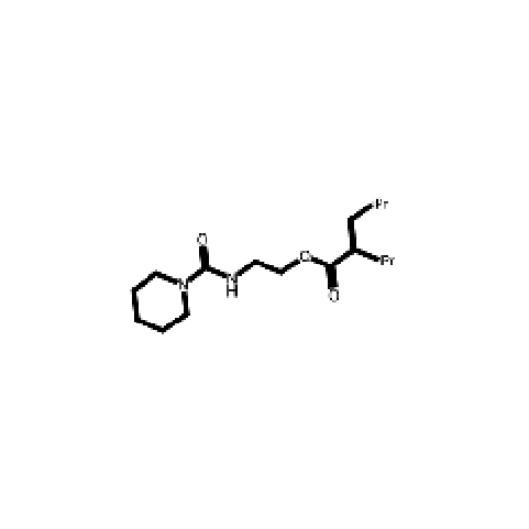 CC(C)CC(C(=O)OCCNC(=O)N1CCCCC1)C(C)C